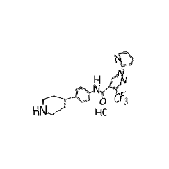 Cl.O=C(Nc1ccc(C2CCNCC2)cc1)c1cn(-c2ccccn2)nc1C(F)(F)F